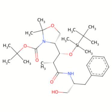 C[C@@H](C(=O)N[C@@H](CO)Cc1ccccc1)[C@@H](O[Si](C)(C)C(C)(C)C)[C@H]1COC(C)(C)N1C(=O)OC(C)(C)C